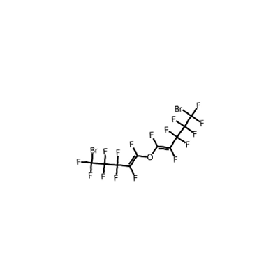 FC(OC(F)=C(F)C(F)(F)C(F)(F)C(F)(F)Br)=C(F)C(F)(F)C(F)(F)C(F)(F)Br